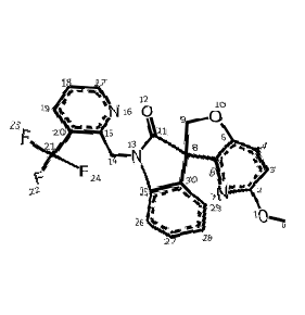 COc1ccc2c(n1)C1(CO2)C(=O)N(Cc2ncccc2C(F)(F)F)c2ccccc21